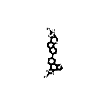 CC(C)c1nc2c([nH]1)COc1c-2ccc2cc(-c3ccc4c(c3)c3sccc3c3nc(C(C)C)[nH]c43)ccc12